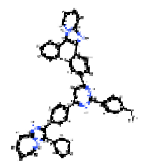 CC(C)Cc1ccc(-c2nc(-c3ccc(-c4nc5ccccn5c4-c4ccccc4)cc3)cc(-c3ccc(-c4nc5ccccn5c4-c4ccccc4)cc3)n2)cc1